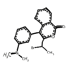 CC(Br)c1oc(=O)c2ccccc2c1-c1cccc(N(C)C)c1